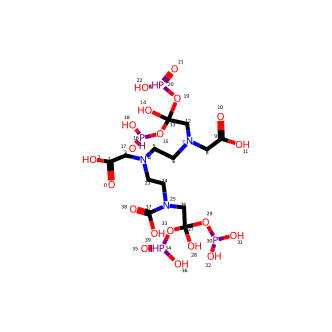 O=C(O)CN(CCN(CC(=O)O)CC(O)(O[PH](=O)O)O[PH](=O)O)CCN(CC(O)(OP(O)O)O[PH](=O)O)C(=O)O